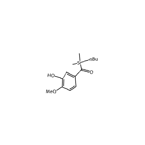 CCCC[Si](C)(C)C(=O)c1ccc(OC)c(O)c1